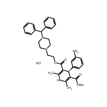 COC(=O)C1=C(C)NC(C)=C(C(=O)OCCN2CCN(C(c3ccccc3)c3ccccc3)CC2)[C@H]1c1cccc([N+](=O)[O-])c1.Cl